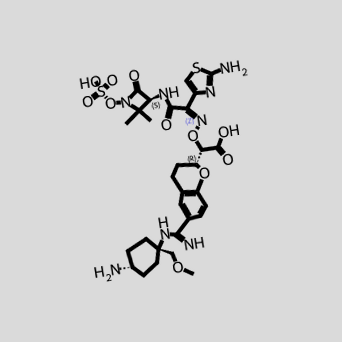 COC[C@]1(NC(=N)c2ccc3c(c2)CC[C@H](C(O/N=C(\C(=O)N[C@@H]2C(=O)N(OS(=O)(=O)O)C2(C)C)c2csc(N)n2)C(=O)O)O3)CC[C@@H](N)CC1